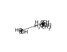 C[Si](C)(C)C(CCCCCCCCCCCCCCCCCP(=O)(O)O)[Si](C)(C)C